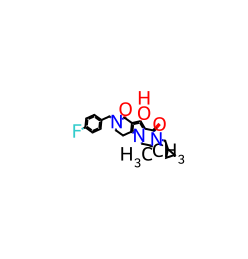 CC1(C)Cn2c3c(c(O)c2C(=O)N1CC1CC1)C(=O)N(Cc1ccc(F)cc1)CC3